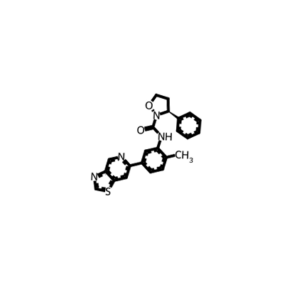 Cc1ccc(-c2cc3scnc3cn2)cc1NC(=O)N1OCC[C@H]1c1ccccc1